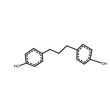 Oc1ccc(CCCc2ccc(O)cc2)cc1